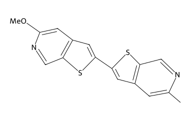 COc1cc2cc(-c3cc4cc(C)ncc4s3)sc2cn1